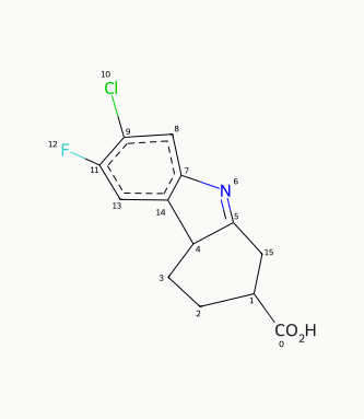 O=C(O)C1CCC2C(=Nc3cc(Cl)c(F)cc32)C1